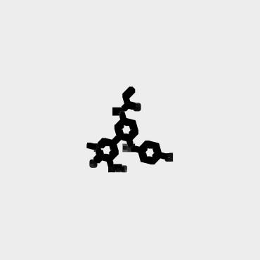 C=CC(=O)Nc1ccc(Nc2ccc(Cl)cc2)c(-c2cc(NC)c(=O)n(C)c2)c1